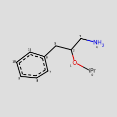 CC(C)OC(CN)Cc1ccccc1